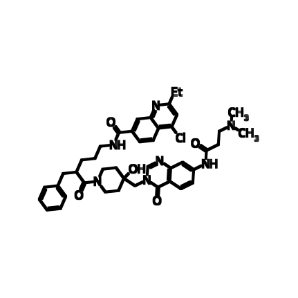 CCc1cc(Cl)c2ccc(C(=O)NCCCC(Cc3ccccc3)C(=O)N3CCC(O)(Cn4cnc5cc(NC(=O)CCN(C)C)ccc5c4=O)CC3)cc2n1